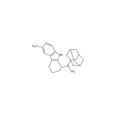 Cc1ccc2[nH]c3c(c2c1)CCCC3N(C)C12CC3CC(CC(C3)C1)C2